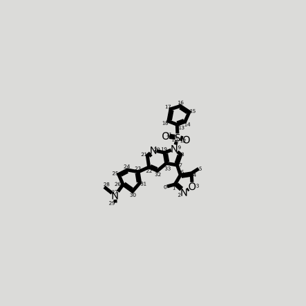 Cc1noc(C)c1-c1cn(S(=O)(=O)c2ccccc2)c2ncc(-c3ccc(N(C)C)cc3)cc12